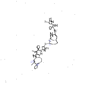 CC1=C/C2=NC([C@@H](C)C(=O)Nc3cc(C4CC4C4=C/CCC5C=C([C@@H](C)C(=O)Nc6cc(C7CC7)[nH]n6)N=C(\C=C\4C)C5)[nH]n3)=CC2CC/C=C\1Cl